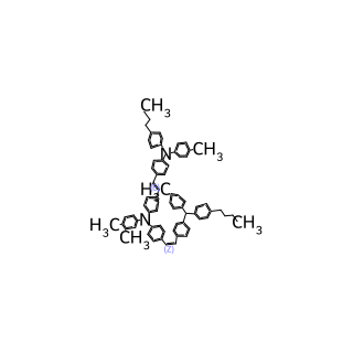 CCCCc1ccc(C(c2ccc(C)cc2)c2ccc(/C=C\c3ccc(N(c4ccc(/C=C/c5ccc(N(c6ccc(C)cc6)c6ccc(CCCC)cc6)cc5)cc4)c4ccc(C)c(C)c4)cc3)cc2)cc1